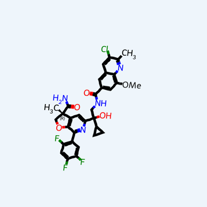 COc1cc(C(=O)NCC(O)(c2cc3c(c(-c4cc(F)c(F)cc4F)n2)OC[C@]3(C)C(N)=O)C2CC2)cc2cc(Cl)c(C)nc12